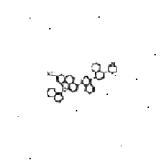 N#Cc1cc2ccc3c(-c4ccc(-c5ccc(-c6cccnc6)c6ccccc56)c5ccccc45)ccc4c3c2c(c1)n4-c1cccc2ccccc12